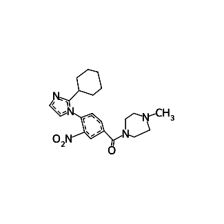 CN1CCN(C(=O)c2ccc(-n3ccnc3C3CCCCC3)c([N+](=O)[O-])c2)CC1